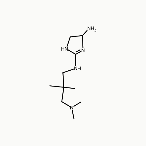 CN(C)CC(C)(C)CNC1=NC(N)CN1